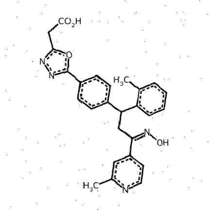 Cc1cc(/C(CC(c2ccc(-c3nnc(CC(=O)O)o3)cc2)c2ccccc2C)=N\O)ccn1